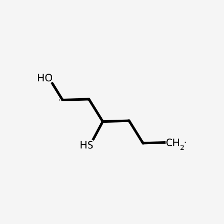 [CH2]CCC(S)C[CH]O